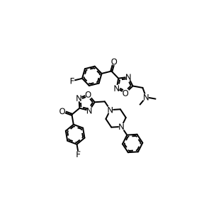 CN(C)Cc1nc(C(=O)c2ccc(F)cc2)no1.O=C(c1ccc(F)cc1)c1noc(CN2CCN(c3ccccc3)CC2)n1